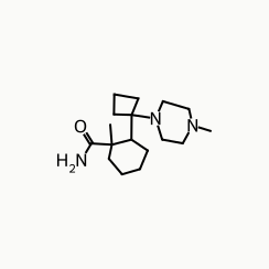 CN1CCN(C2(C3CCCCC3(C)C(N)=O)CCC2)CC1